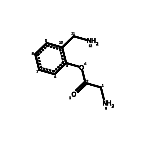 NCC(=O)Oc1ccccc1CN